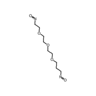 O=NCCCOCCOCCOCCN=O